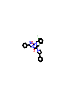 Cc1c(N2CCC(c3ccccc3)C2)c(=O)n(CC(N)c2ccccc2)c(=O)n1Cc1c(F)cccc1F